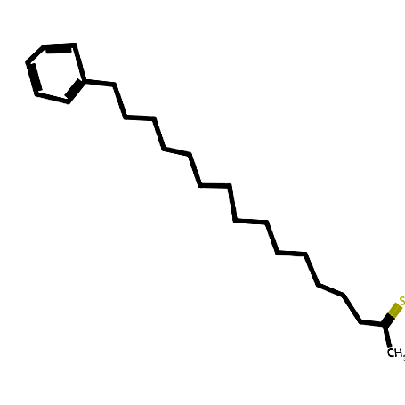 CC(=S)CCCCCCCCCCCCCCc1ccccc1